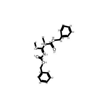 CSC(=NC(=O)OCc1ccccc1)N(C)C(=O)OCc1ccccc1